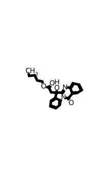 CCCCCOC(=O)CC1(O)c2ccccc2-n2c1nc1ccccc1c2=O